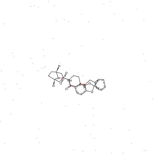 O=C(N[C@H]1C[C@H]2CC[C@@H](C1)N2S(=O)(=O)C1CCC(NCc2ccccc2)CC1)c1ccc2c(c1)OC(F)(F)O2